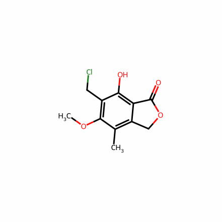 COc1c(C)c2c(c(O)c1CCl)C(=O)OC2